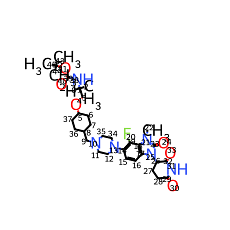 [2H]C(C)(COC1CCC(CN2CCN(c3ccc4c(c3F)n(C)c(=O)n4C3CCC(=O)NC3=O)CC2)CC1)NC(=O)OC(C)(C)C